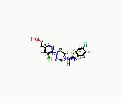 OCCc1cnc(N2CCN(Nc3nc4ccc(F)cc4s3)CC2)c(Cl)c1